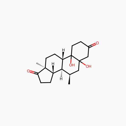 C[C@@H]1CC2(O)CC(=O)CCC2(O)[C@H]2CC[C@]3(C)C(=O)CC[C@H]3[C@H]12